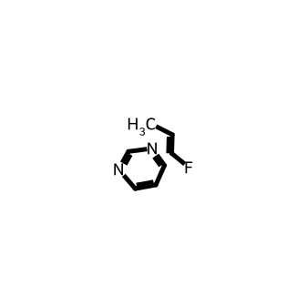 CC=CF.c1cncnc1